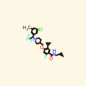 Cc1cc(Cl)cc(C(N2CCC(COc3cc(F)c(C(=O)NCC4CC4)cc3C3CC3)CC2)C(F)(F)F)c1